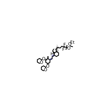 C=C1/C(=C\C=C2/CCC[C@]3(C)[C@@H]([C@H](C)CCC(F)(F)C(C)(C)OC(C)OCC)CC[C@@H]23)C[C@@H](OC2CCCCO2)C[C@@H]1OC1CCCCO1